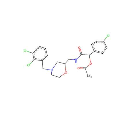 O=C(NCC1CN(Cc2cccc(Cl)c2Cl)CCO1)C(OC(=O)C(F)(F)F)c1ccc(Cl)cc1